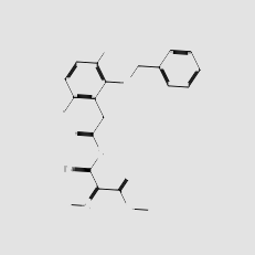 COC(=O)/C(=N/S)C(=N)NC(=O)Cc1c(Cl)ccc(Cl)c1OCc1ccccc1